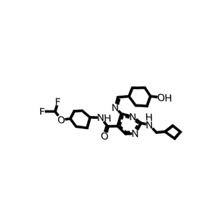 O=C(NC1CCC(OC(F)F)CC1)c1cnc(NCC2CCC2)nc1/N=C\C1CCC(O)CC1